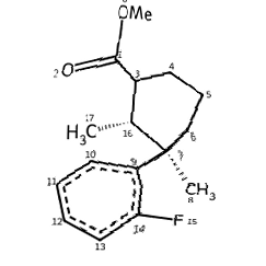 COC(=O)C1CCC[C@@](C)(c2ccccc2F)[C@@H]1C